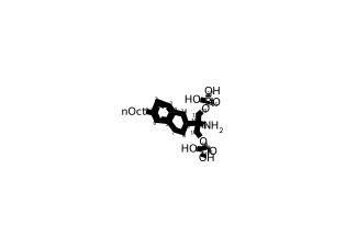 CCCCCCCCc1ccc2c(c1)CCC(C(N)(COP(=O)(O)O)COP(=O)(O)O)C2